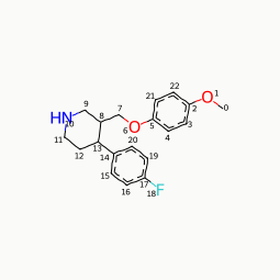 COc1ccc(OCC2CNCCC2c2ccc(F)cc2)cc1